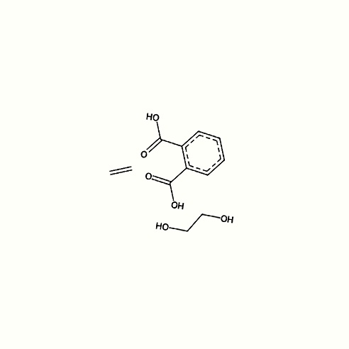 C=C.O=C(O)c1ccccc1C(=O)O.OCCO